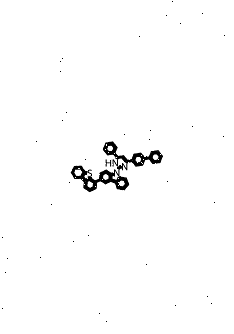 C1=Cc2sc3c(-c4ccc5c(c4)c4ccccc4n5C4=NC(c5ccc(-c6ccccc6)cc5)=CC(c5ccccc5)N4)cccc3c2CC1